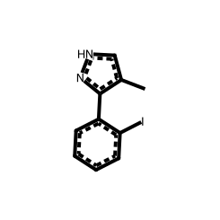 Cc1c[nH]nc1-c1ccccc1I